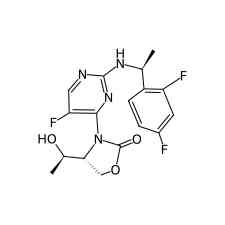 C[C@H](Nc1ncc(F)c(N2C(=O)OC[C@@H]2[C@@H](C)O)n1)c1ccc(F)cc1F